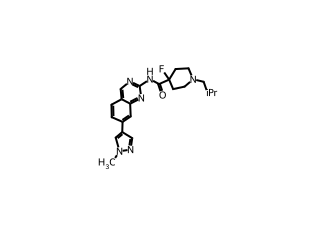 CC(C)CN1CCC(F)(C(=O)Nc2ncc3ccc(-c4cnn(C)c4)cc3n2)CC1